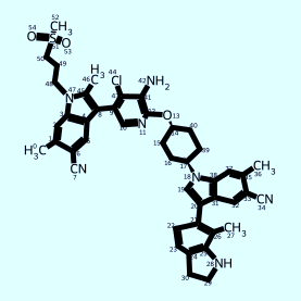 Cc1cc2c(cc1C#N)c(-c1cnc(O[C@H]3CC[C@H](n4cc(-c5ccc6c(c5C)NCC6)c5cc(C#N)c(C)cc54)CC3)c(N)c1Cl)c(C)n2CCCS(C)(=O)=O